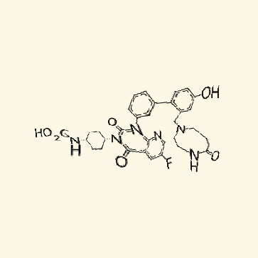 O=C1CCN(Cc2cc(O)ccc2-c2cccc(-n3c(=O)n([C@H]4CC[C@@H](NC(=O)O)CC4)c(=O)c4cc(F)cnc43)c2)CCN1